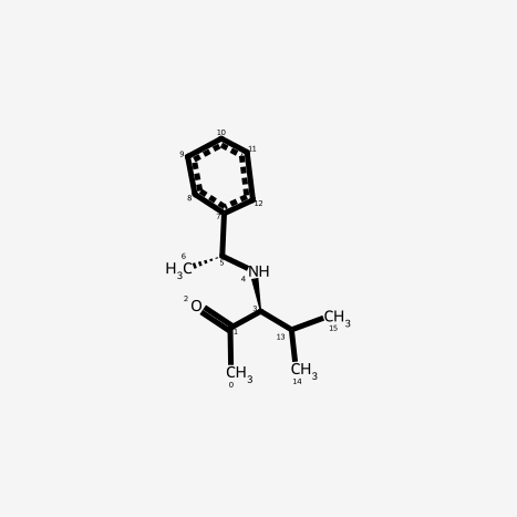 CC(=O)[C@@H](N[C@H](C)c1ccccc1)C(C)C